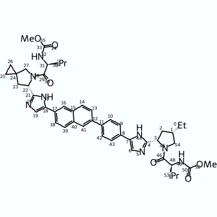 CC[C@H]1C[C@@H](c2ncc(-c3ccc(-c4ccc5cc(-c6cnc([C@@H]7CC8(CC8)CN7C(=O)[C@@H](NC(=O)OC)C(C)C)[nH]6)ccc5c4)cc3)[nH]2)N(C(=O)[C@@H](NC(=O)OC)C(C)C)C1